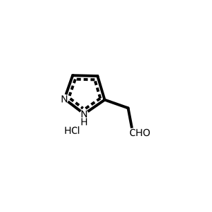 Cl.O=CCc1ccn[nH]1